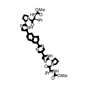 COC(=O)N[C@H](C(=O)N1CCC[C@H]1c1ncc(-c2cnc(-c3ccc4cc(-c5cnc([C@@H]6CCCN6C(=O)[C@@H](NC(=O)OC)C(C)C)[nH]5)ccc4c3)nc2)[nH]1)C(C)C